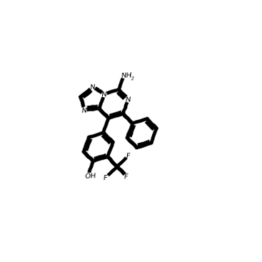 Nc1nc(-c2ccccc2)c(-c2ccc(O)c(C(F)(F)F)c2)c2ncnn12